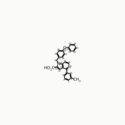 Cc1cccc(-c2nccc3c2cc(C(=O)O)n3Cc2ccc(Oc3ccccc3)cc2)c1